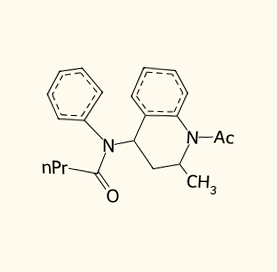 CCCC(=O)N(c1ccccc1)C1CC(C)N(C(C)=O)c2ccccc21